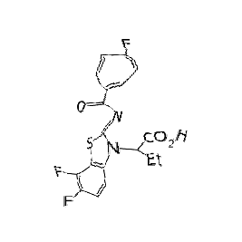 CCC(C(=O)O)n1c(=NC(=O)c2ccc(F)cc2)sc2c(F)c(F)ccc21